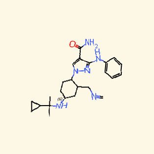 C=NCC1C[C@@H](NC(C)(C)C2CC2)CCC1n1cc(C(N)=O)c(Nc2ccccc2)n1